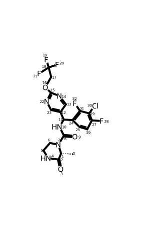 C[C@@H]1C(=O)NCCN1C(=O)NC(c1cnc(OCC(F)(F)F)nc1)c1ccc(F)c(Cl)c1F